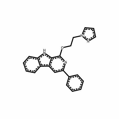 c1ccc(-c2cc3c([nH]c4ccccc43)c(OCCn3cccn3)n2)cc1